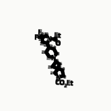 CCOC(=O)N1CCC2(CC(N3CCC(C4CC(F)(F)CN4C(=O)CC)CC3)C2)C1